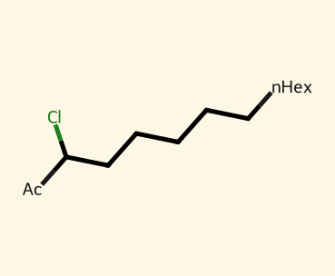 CCCCCCCCCCCC(Cl)C(C)=O